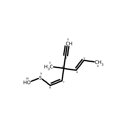 C#CC(C)(C=CC)/C=C\SO